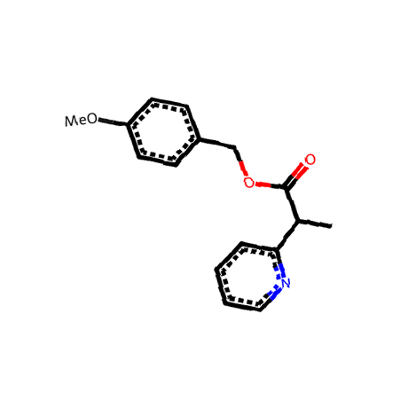 COc1ccc(COC(=O)C(C)c2ccccn2)cc1